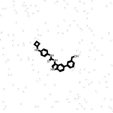 O=C(Nc1ccc(NC2CCC2)cc1)Nc1c[nH]c2ccc(-c3cccc(CO)c3)cc12